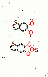 COc1cc2ccsc2cc1OC.COc1cc2ccsc2cc1OC.O=S